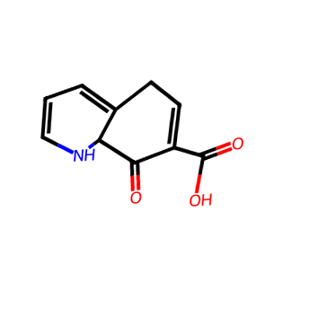 O=C(O)C1=CCC2=CC=CNC2C1=O